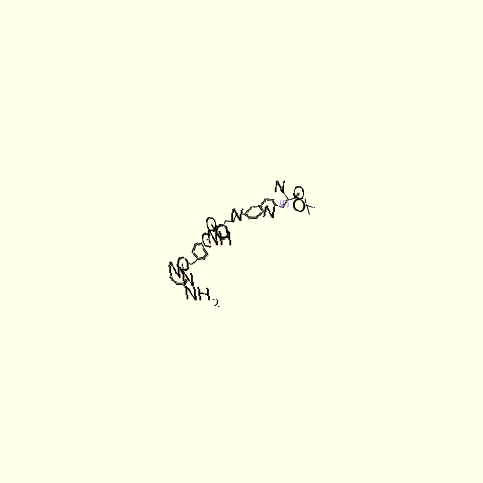 CN(CCOC(=O)NCc1ccc(COc2nccc(N)n2)cc1)c1ccc2nc(/C=C(\C#N)C(=O)OC(C)(C)C)ccc2c1